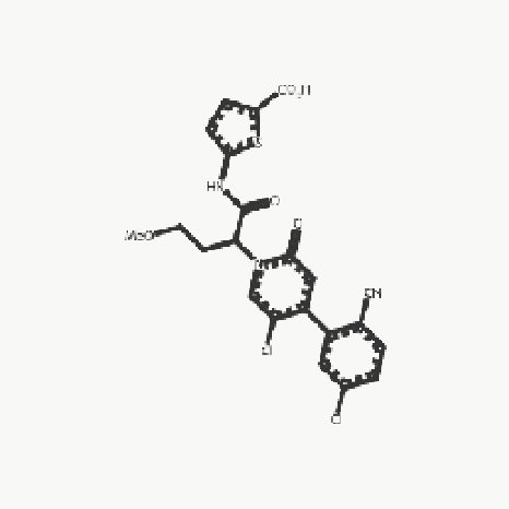 COCCC(C(=O)Nc1ccc(C(=O)O)s1)n1cc(Cl)c(-c2cc(Cl)ccc2C#N)cc1=O